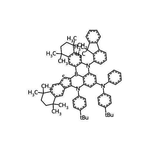 CC(C)(C)c1ccc(N(c2ccccc2)c2cc3c4c(c2)N(c2ccc(C(C)(C)C)cc2)c2c(sc5cc6c(cc25)C(C)(C)CCC6(C)C)B4c2cc4c(cc2N3c2cccc3c2C(C)(C)c2ccccc2-3)C(C)(C)CCC4(C)C)cc1